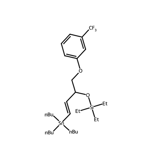 CCC[CH2][Sn](/[CH]=C/C(COc1cccc(C(F)(F)F)c1)O[Si](CC)(CC)CC)([CH2]CCC)[CH2]CCC